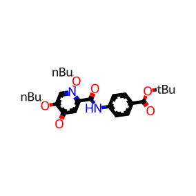 CCCCOc1cn(OCCCC)c(C(=O)Nc2ccc(C(=O)OC(C)(C)C)cc2)cc1=O